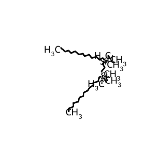 CCCCCCCCCCCCCC[Si](C)(CCC[Si](C)(CCCCCCCCCCCCCC)N(C)C)N(C)C